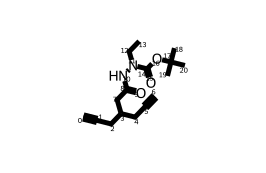 C#CCC(CC#C)CC(=O)NN(CC)C(=O)OC(C)(C)C